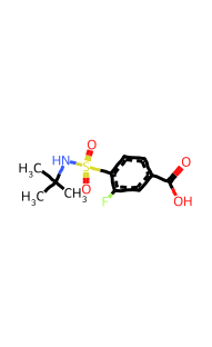 CC(C)(C)NS(=O)(=O)c1ccc(C(=O)O)cc1F